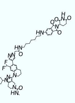 CNC(=O)N1CCc2c(c(N3CCCc4cc(-c5cnn(CC(=O)NCCCCCCCNc6ccc7c(c6)C(=O)N(C6CCC(=O)NC6=O)C7=O)c5)c(C(F)F)cc43)nn2C2CCOCC2)C1